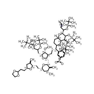 C=C1C[C@H](CCC2OCCO2)O[C@H]1CC[C@H]1C[C@@H](C)C(=C)[C@@H](C[C@@H]2O[C@H](CC(CO[Si](C)(C)C(C)(C)C)O[Si](C)(C)C(C)(C)C)[C@H](OC)[C@H]2CC[C@@H](c2cc([SH](=O)=O)ccc2C)C2CC[C@@H]3O[C@@H](C(/C=C/I)O[Si](C)(C)C(C)(C)C)C(O[Si](C)(C)C(C)(C)C)C(O[Si](C)(C)C(C)(C)C)[C@H]3O2)O1